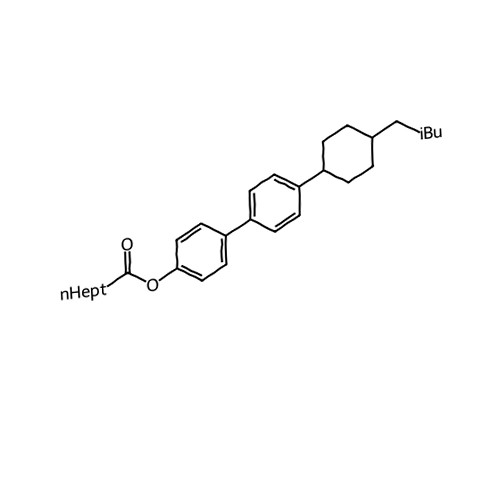 CCCCCCCC(=O)Oc1ccc(-c2ccc(C3CCC(CC(C)CC)CC3)cc2)cc1